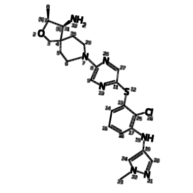 C[C@@H]1OCC2(CCN(c3cnc(Sc4cccc(Nc5cnn(C)c5)c4Cl)cn3)CC2)[C@@H]1N